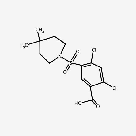 CC1(C)CCN(S(=O)(=O)c2cc(C(=O)O)c(Cl)cc2Cl)CC1